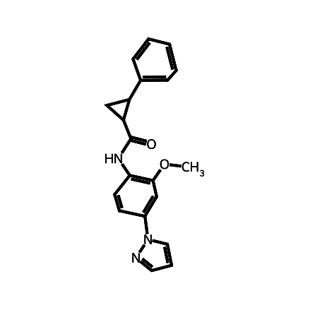 COc1cc(-n2cccn2)ccc1NC(=O)C1CC1c1ccccc1